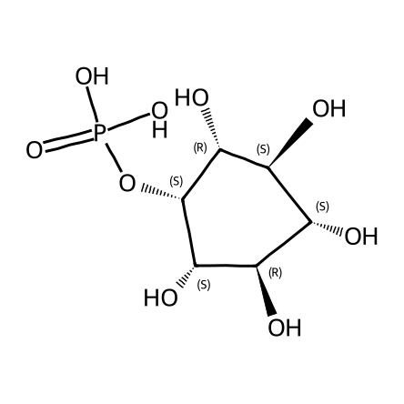 O=P(O)(O)O[C@@H]1[C@H](O)[C@@H](O)[C@H](O)[C@@H](O)[C@@H]1O